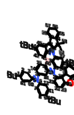 CC(C)(C)C1=CCC(N(c2ccc(C(C)(C)C)cc2)c2ccc3c(c2)N(c2cccc4oc5ccccc5c24)c2cc(C(C)(C)C)cc4c2B3c2cc(C(C)(C)C)cc3c5c(n-4c23)C(C)(C)c2ccccc2-5)C=C1